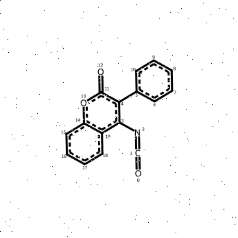 O=C=Nc1c(-c2ccccc2)c(=O)oc2ccccc12